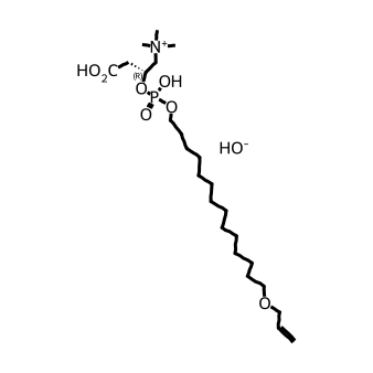 C=CCOCCCCCCCCCCCCCCOP(=O)(O)O[C@H](CC(=O)O)C[N+](C)(C)C.[OH-]